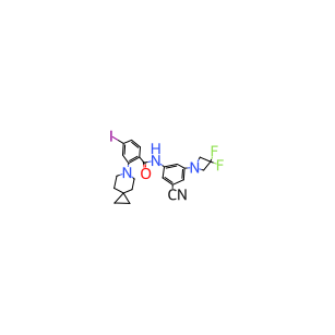 N#Cc1cc(NC(=O)c2ccc(I)cc2N2CCC3(CC2)CC3)cc(N2CC(F)(F)C2)c1